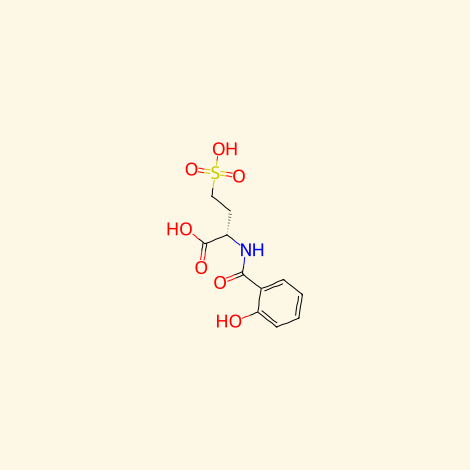 O=C(N[C@@H](CCS(=O)(=O)O)C(=O)O)c1ccccc1O